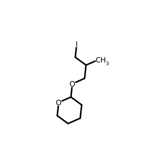 CC(CI)COC1CCCCO1